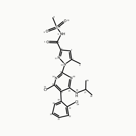 Cc1cc(C(=O)NS(C)(=O)=O)nn1-c1nc(Cl)c(-c2ccccc2Cl)c(NC(C)C)n1